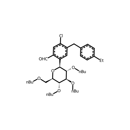 CCCCOC[C@H]1O[C@@H](c2cc(Cc3ccc(CC)cc3)c(Cl)cc2C=O)[C@H](OCCCC)[C@@H](OCCCC)[C@@H]1OCCCC